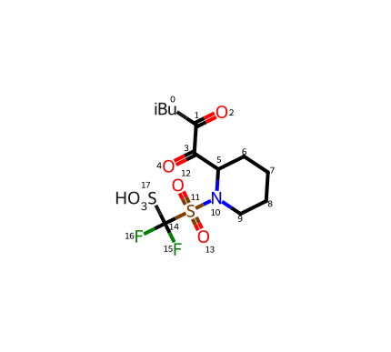 CCC(C)C(=O)C(=O)C1CCCCN1S(=O)(=O)C(F)(F)S(=O)(=O)O